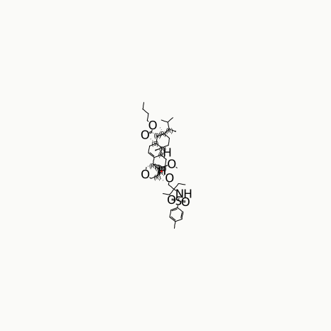 CCCCOC(=O)[C@@H]1[C@@](C)([C@H](C)C(C)C)CC[C@]2(C)[C@H]3CC[C@@H]4[C@@]5(COC[C@]4(C)[C@@H](OCC(CC)(CC)NS(=O)(=O)c4ccc(C)cc4)[C@H](OC)C5)C3=CC[C@@]12C